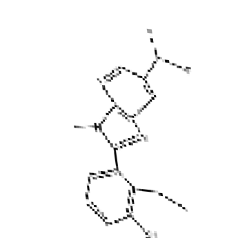 CCc1c(S)cccc1-c1nc2cc(C(F)F)cnc2n1C